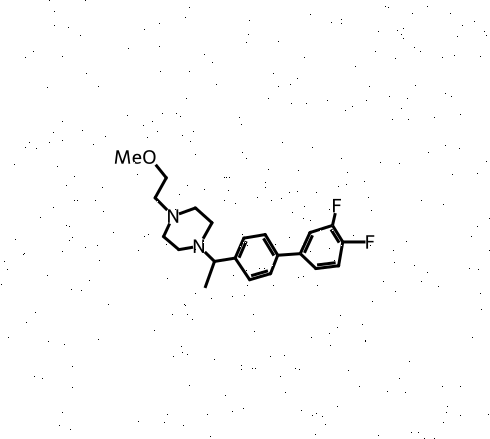 COCCN1CCN(C(C)c2ccc(-c3ccc(F)c(F)c3)cc2)CC1